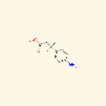 COC(=O)CC(C)(C)c1ccc(N)cc1